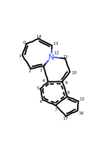 C1=CC=C2c3ccc4c(c3=CCN2C=C1)=CC=C4